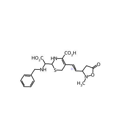 CN1OC(=O)CC1/C=C/C1=C(C(=O)O)NC(C(NCc2ccccc2)C(=O)O)SC1